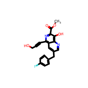 COC(=O)c1nc(C#CCO)c2cc(Cc3ccc(F)cc3)cnc2c1O